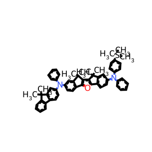 CC1(C)c2ccccc2-c2ccc(N(c3ccccc3)c3ccc4c(c3)C(C)(C)c3c-4oc4c3C(C)(C)c3cc(N(c5ccccc5)c5ccc([Si](C)(C)C)cc5)ccc3-4)cc21